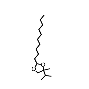 CCCCCCCCCCC1OCC(C)(C(C)C)O1